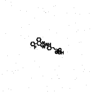 O=S(=O)(O)CCCc1cccc(Nc2ncc3c(n2)-c2ccccc2C(c2ccccc2F)C3)c1